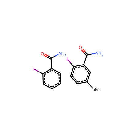 CCCc1ccc(I)c(C(N)=O)c1.NC(=O)c1ccccc1I